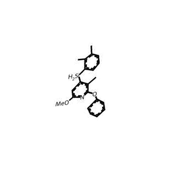 COc1cc([SiH2]c2cccc(C)c2C)c(C)c(Oc2ccccc2)n1